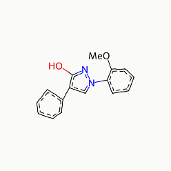 COc1ccccc1-n1cc(-c2ccccc2)c(O)n1